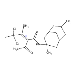 CC(=O)/C(C(=O)NC1(C)CC2CC(C)CC(C2)C1)=C(/N)C(Cl)(Cl)Cl